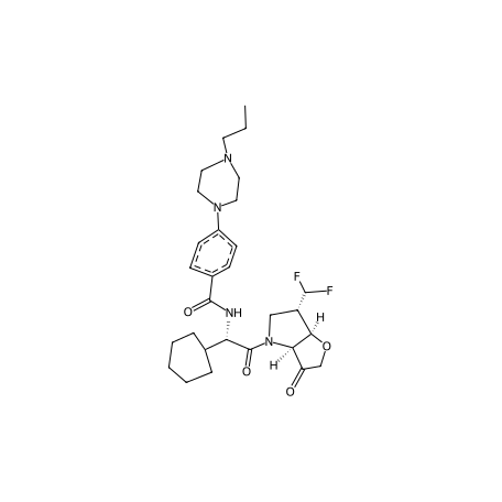 CCCN1CCN(c2ccc(C(=O)N[C@H](C(=O)N3C[C@H](C(F)F)[C@H]4OCC(=O)[C@H]43)C3CCCCC3)cc2)CC1